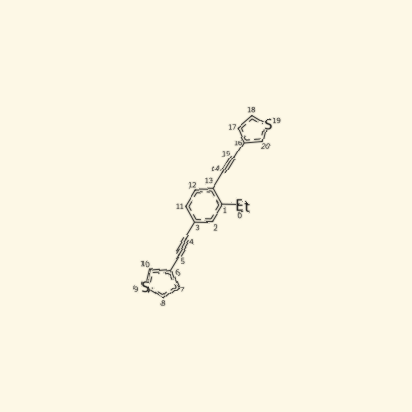 CCc1cc(C#Cc2ccsc2)ccc1C#Cc1ccsc1